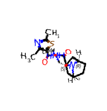 Cc1nc(C)c(C(=O)NC[C@@H]2C[C@H]3CC[C@@H](C2)N3CC(=O)NC(C)(C)C)s1